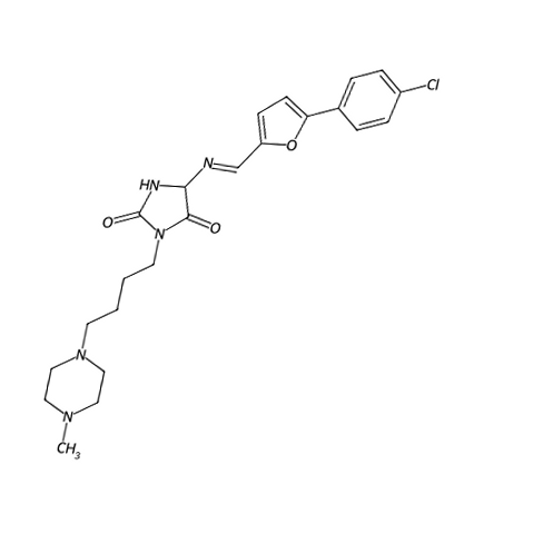 CN1CCN(CCCCN2C(=O)NC(N=Cc3ccc(-c4ccc(Cl)cc4)o3)C2=O)CC1